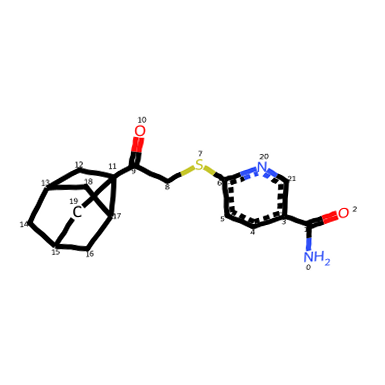 NC(=O)c1ccc(SCC(=O)C23CC4CC(CC2C4)C3)nc1